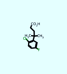 CC(C)(CCC(=O)O)c1cc(F)ccc1Cl